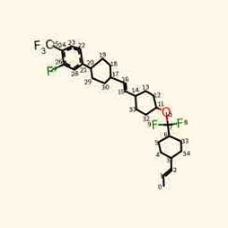 C/C=C/C1CCC(C(F)(F)OC2CCC(/C=C/C3CCC(c4ccc(C(F)(F)F)c(F)c4)CC3)CC2)CC1